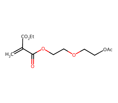 C=C(C(=O)OCC)C(=O)OCCOCCOC(C)=O